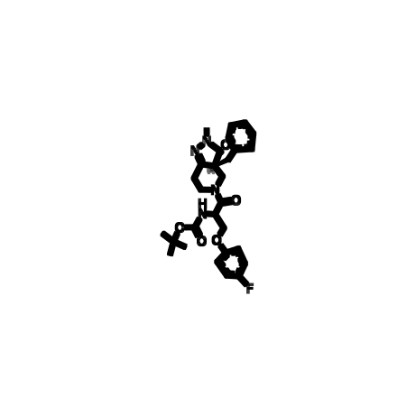 CN1N=C2CCN(C(=O)C(COc3ccc(F)cc3)NC(=O)OC(C)(C)C)C[C@@]2(Cc2ccccc2)C1=O